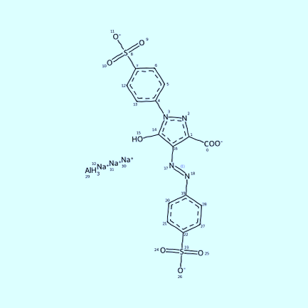 O=C([O-])c1nn(-c2ccc(S(=O)(=O)[O-])cc2)c(O)c1/N=N/c1ccc(S(=O)(=O)[O-])cc1.[AlH3].[Na+].[Na+].[Na+]